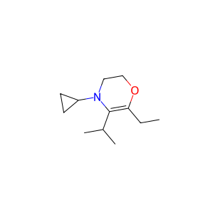 CCC1=C(C(C)C)N(C2CC2)CCO1